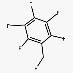 F[CH]c1c(F)c(F)c(F)c(F)c1F